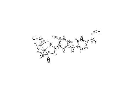 C[C@H](CO)c1ccc(Nc2ncc(F)c(N3C[C@@H]4[C@@H](C)[C@@]4(C4(NC=O)CC4)C3)n2)cn1